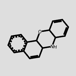 C1=CC2NC3C=Cc4ccccc4C3OC2C=C1